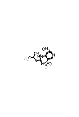 CC(C)SC1=NS(=O)(=O)c2cnccc2N1.O